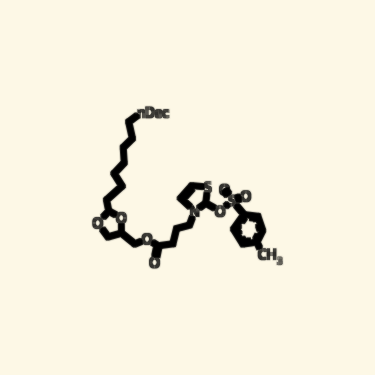 CCCCCCCCCCCCCCCCCC1OCC(COC(=O)CCCN2C=CSC2OS(=O)(=O)c2ccc(C)cc2)O1